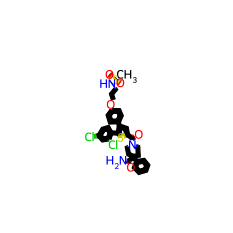 CS(=O)(=O)NCCCOc1ccc(-c2cc(C(=O)N3CCC(C(N)=O)(c4ccccc4)CC3)sc2-c2ccc(Cl)cc2Cl)cc1